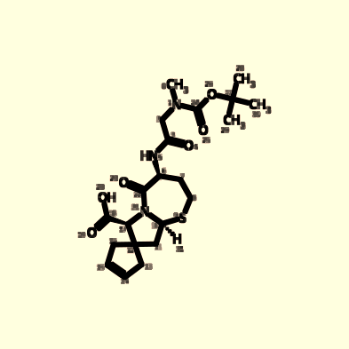 CN(CC(=O)N[C@H]1CCS[C@H]2CC3(CC=CC3)[C@@H](C(=O)O)N2C1=O)C(=O)OC(C)(C)C